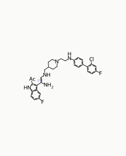 CC(=O)c1[nH]c2ccc(F)cc2c1/C(N)=C/NCC1CCN(CCNc2ccc(-c3ccc(F)cc3Cl)cc2)CC1